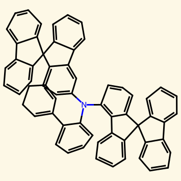 C1=CC(c2ccccc2N(c2ccc3c(c2)-c2ccccc2C32c3ccccc3-c3ccccc32)c2cccc3c2-c2ccccc2C32c3ccccc3-c3ccccc32)=CCC1